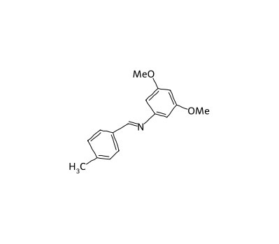 COc1cc(N=Cc2ccc(C)cc2)cc(OC)c1